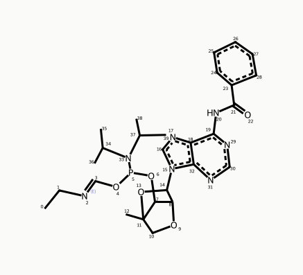 CC/N=C/OP(OC1C2OCC1(C)OC2n1cnc2c(NC(=O)c3ccccc3)ncnc21)N(C(C)C)C(C)C